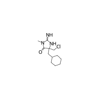 CN1C(=N)NC(CCl)(CC2CCCCC2)C1=O